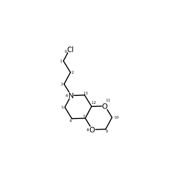 ClCCCN1CCC2OCCOC2C1